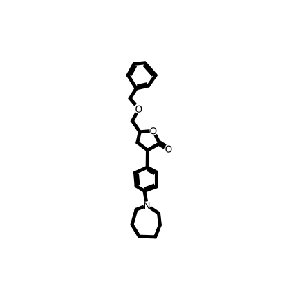 O=C1OC(COCc2ccccc2)CC1c1ccc(N2CCCCCC2)cc1